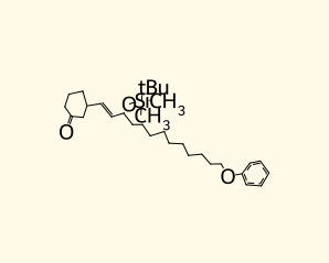 CC(C)(C)[Si](C)(C)OC(C=CC1CCCC(=O)C1)CCCCCCCCCCOc1ccccc1